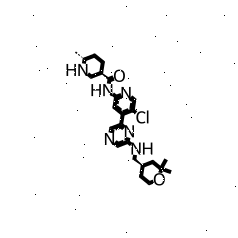 C[C@@H]1CC[C@@H](C(=O)Nc2cc(-c3cncc(NC[C@@H]4CCOC(C)(C)C4)n3)c(Cl)cn2)CN1